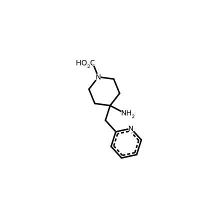 NC1(Cc2ccccn2)CCN(C(=O)O)CC1